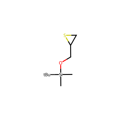 CC(C)(C)[Si](C)(C)OCC1CS1